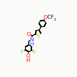 O=C(NCc1cc(F)c(O)c(F)c1)c1cc(-c2ccc(OC(F)(F)F)cc2)cs1